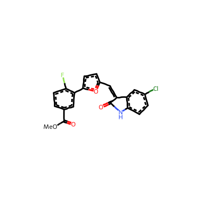 COC(=O)c1ccc(F)c(-c2ccc(C=C3C(=O)Nc4ccc(Cl)cc43)o2)c1